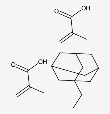 C=C(C)C(=O)O.C=C(C)C(=O)O.CCC12CC3CC(CC(C3)C1)C2